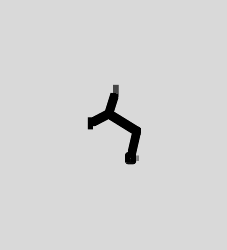 [O]CC(I)I